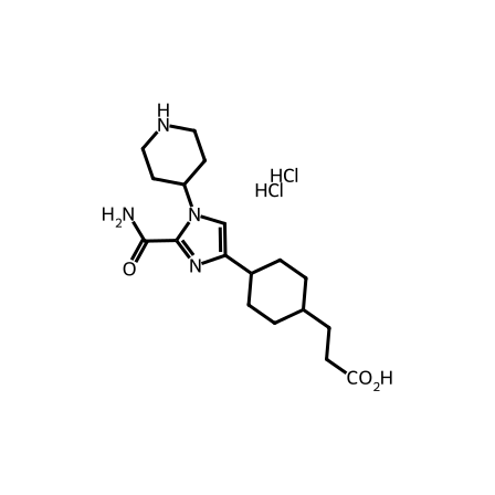 Cl.Cl.NC(=O)c1nc(C2CCC(CCC(=O)O)CC2)cn1C1CCNCC1